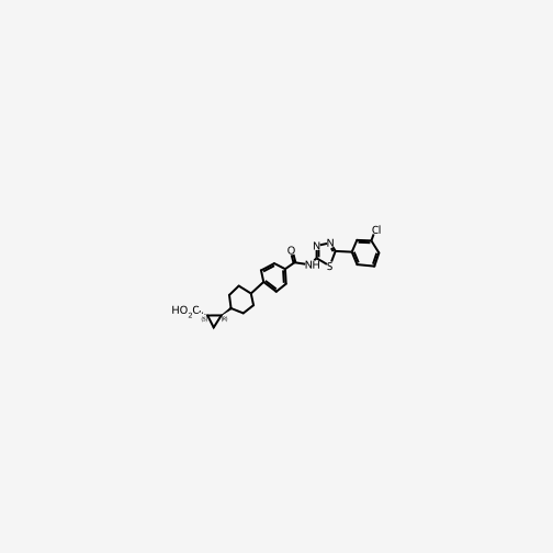 O=C(Nc1nnc(-c2cccc(Cl)c2)s1)c1ccc(C2CCC([C@H]3C[C@@H]3C(=O)O)CC2)cc1